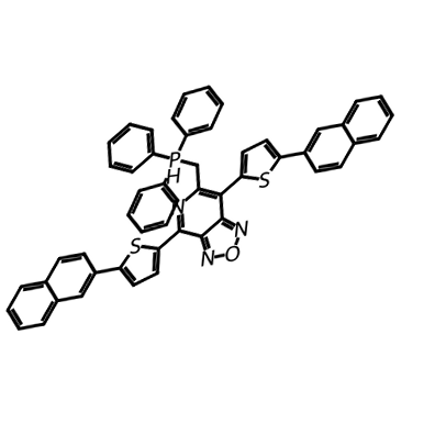 c1ccc([PH](Cc2nc(-c3ccc(-c4ccc5ccccc5c4)s3)c3nonc3c2-c2ccc(-c3ccc4ccccc4c3)s2)(c2ccccc2)c2ccccc2)cc1